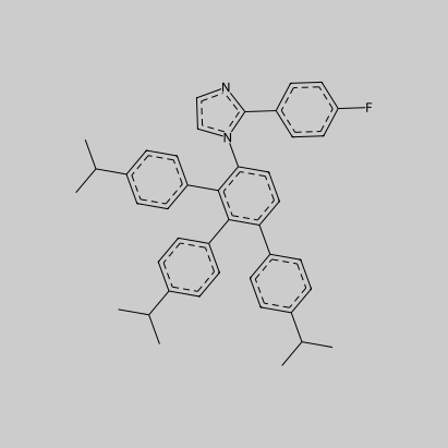 CC(C)c1ccc(-c2ccc(-n3ccnc3-c3ccc(F)cc3)c(-c3ccc(C(C)C)cc3)c2-c2ccc(C(C)C)cc2)cc1